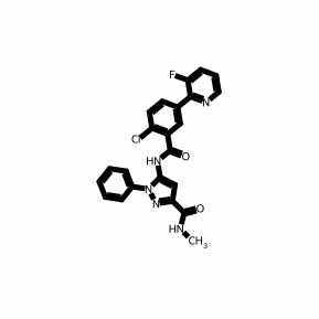 CNC(=O)c1cc(NC(=O)c2cc(-c3ncccc3F)ccc2Cl)n(-c2ccccc2)n1